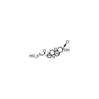 C[C@]12CC[C@H]3[C@@H](CC=C4C[C@](O)(C#CCl)CC[C@@H]43)[C@@H]1CC[C@@H]2C(=O)CSS(=O)(=O)O